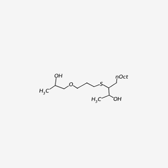 CCCCCCCCCC(SCCCOCC(C)O)C(C)O